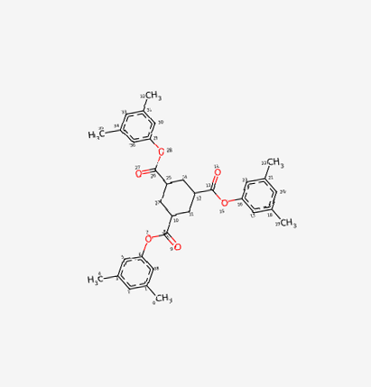 Cc1cc(C)cc(OC(=O)C2CC(C(=O)Oc3cc(C)cc(C)c3)CC(C(=O)Oc3cc(C)cc(C)c3)C2)c1